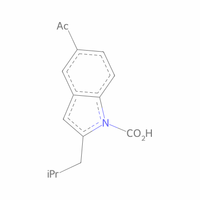 CC(=O)c1ccc2c(c1)cc(CC(C)C)n2C(=O)O